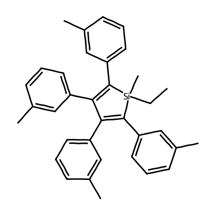 CC[Si]1(C)C(c2cccc(C)c2)=C(c2cccc(C)c2)C(c2cccc(C)c2)=C1c1cccc(C)c1